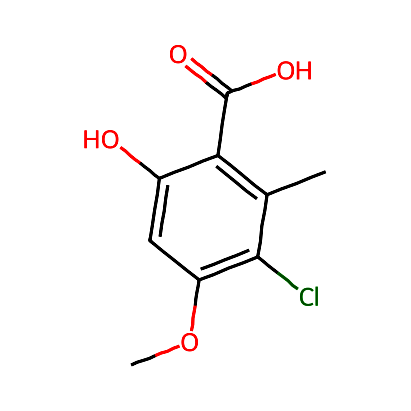 COc1cc(O)c(C(=O)O)c(C)c1Cl